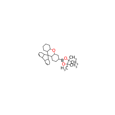 CC1(C)OB(C2CCC3C(C2)OC2CCCCC2C32C3CCC=CC3C3C=CCCC32)OC1(C)C